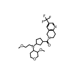 COCCN(C1CCC(C(=O)N2CCc3ncc(C(F)(F)F)cc3C2)C1)C1CCOCC1OC